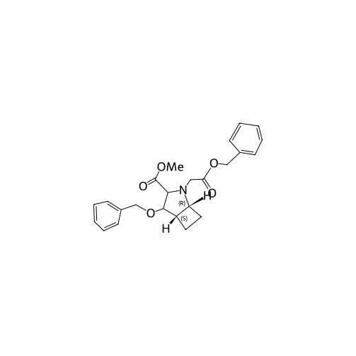 COC(=O)C1C(OCc2ccccc2)[C@H]2CC[C@H]2N1CC(=O)OCc1ccccc1